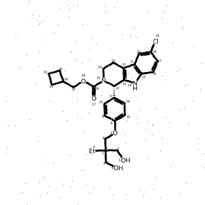 CCC(CO)(CO)COc1ccc([C@H]2c3[nH]c4ccc(Cl)cc4c3CCN2C(=O)OCC2CCC2)cc1